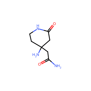 NC(=O)CC1(N)CCNC(=O)C1